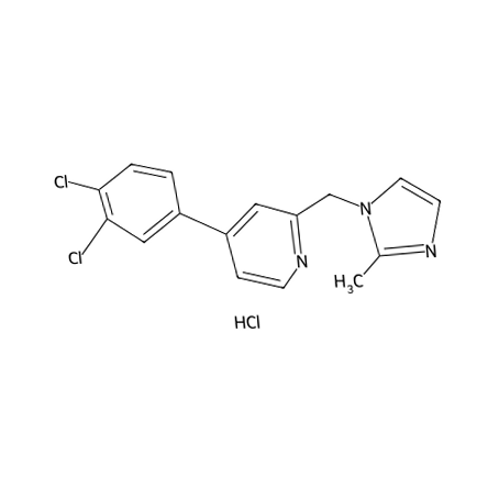 Cc1nccn1Cc1cc(-c2ccc(Cl)c(Cl)c2)ccn1.Cl